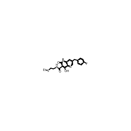 CCSCCNC(=O)c1c(O)c2ncc(Cc3ccc(F)cc3)cc2n(C)c1=O